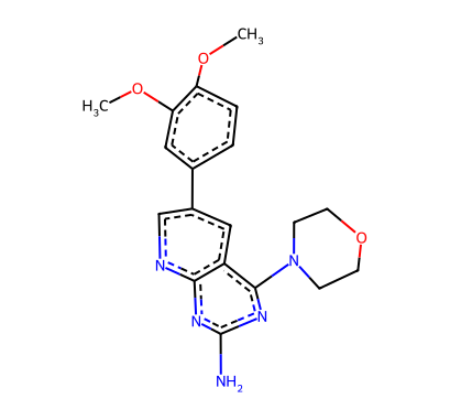 COc1ccc(-c2cnc3nc(N)nc(N4CCOCC4)c3c2)cc1OC